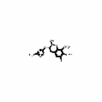 COc1c(F)cc2c(c1C(=O)O)OB(O)[C@@H](Sc1nnc(N)s1)C2